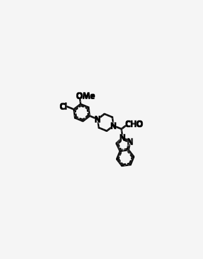 COc1cc(N2CCN(C(C=O)n3cc4ccccc4n3)CC2)ccc1Cl